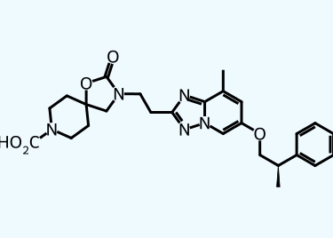 Cc1cc(OC[C@H](C)c2ccccc2)cn2nc(CCN3CC4(CCN(C(=O)O)CC4)OC3=O)nc12